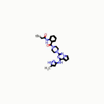 Cc1cc(Nc2nc(N3CCN(C(=O)c4ccccc4NC(=O)CC(C)(C)C)CC3)nn3cccc23)n[nH]1